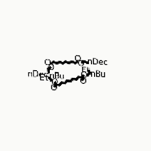 CCCCC(CC)COC(=O)CCCCCCCCC(=O)OCC(CC)CCCC.CCCCCCCCCCCCOC(=O)CCCCCCCCC(=O)OCCCCCCCCCCCC